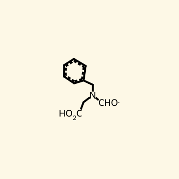 O=[C]N(CC(=O)O)Cc1ccccc1